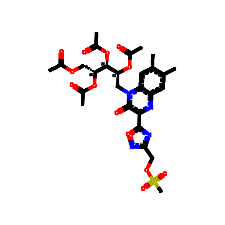 CC(=O)OC[C@@H](OC(C)=O)[C@@H](OC(C)=O)[C@H](Cn1c(=O)c(-c2nc(COS(C)(=O)=O)no2)nc2cc(C)c(C)cc21)OC(C)=O